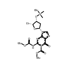 CC[C@H]1O[C@@H](n2cnc3c(=O)n(C(=O)OC(C)(C)C)c(NC(=O)OC(C)(C)C)nc32)C[C@H]1O[Si](C)(C)C(C)(C)C